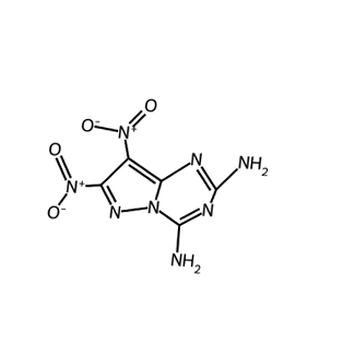 Nc1nc(N)n2nc([N+](=O)[O-])c([N+](=O)[O-])c2n1